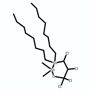 CCCCCCC[CH2][Sn]1([CH2]CCCCCCC)[CH](Cl)C(Cl)C(Cl)(Cl)[O][Sn]1([CH3])[CH3]